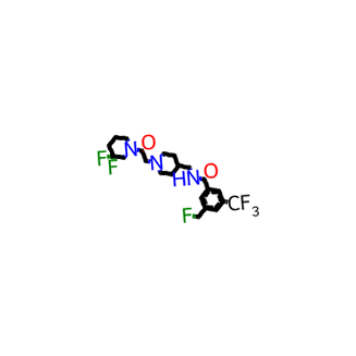 O=C(NCC1CCN(CC(=O)N2CCCC(F)(F)C2)CC1)c1cc(CF)cc(C(F)(F)F)c1